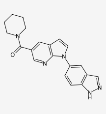 O=C(c1cnc2c(ccn2-c2ccc3[nH]ncc3c2)c1)N1CCCCC1